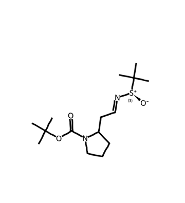 CC(C)(C)OC(=O)N1CCCC1CC=N[S@+]([O-])C(C)(C)C